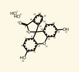 Cl.Cl.O=C1OC2(c3ccc(O)cc3Oc3cc(O)ccc32)c2ccccc21